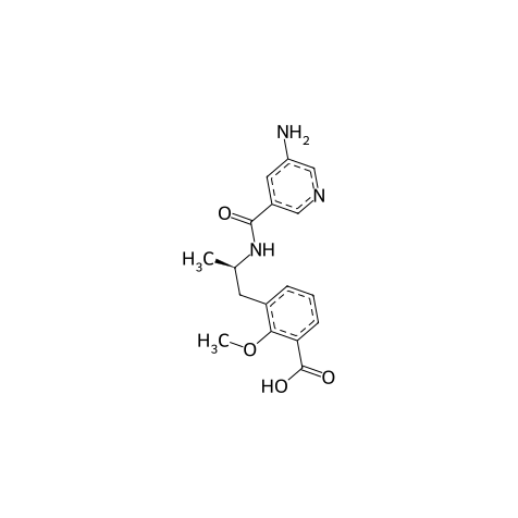 COc1c(C[C@@H](C)NC(=O)c2cncc(N)c2)cccc1C(=O)O